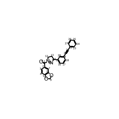 O=C(c1ccc2c(c1)OCO2)N1CCC(c2cccc(C#Cc3ccccc3)c2)=N1